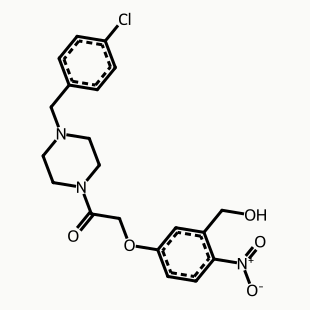 O=C(COc1ccc([N+](=O)[O-])c(CO)c1)N1CCN(Cc2ccc(Cl)cc2)CC1